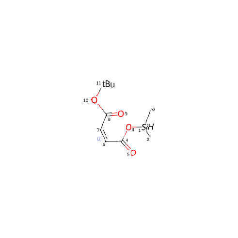 C[SiH](C)OC(=O)/C=C\C(=O)OC(C)(C)C